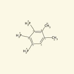 Cc1cc(P)c(P)c(P)c1C